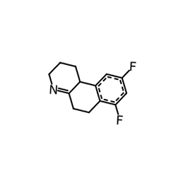 Fc1cc(F)c2c(c1)C1CCCN=C1CC2